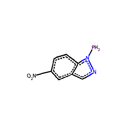 O=[N+]([O-])c1ccc2c(cnn2P)c1